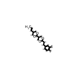 C/C=C/C1COC(C2COC(CCc3ccc(F)c(F)c3)OC2)OC1